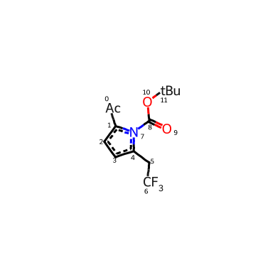 CC(=O)c1ccc(CC(F)(F)F)n1C(=O)OC(C)(C)C